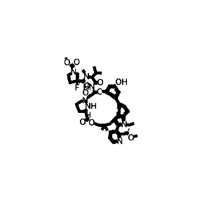 CCn1c(-c2cccnc2[C@H](C)OC)c2c3cc(ccc31)-c1cc(O)cc(c1)C[C@H](NC(=O)C(C(C)C)N(C)C(=O)[C@]1(F)CCN(C(=O)OC)C1)C(=O)N1CCC[C@H](N1)C(=O)OCC(C)(C)C2